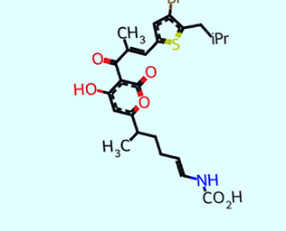 CC(=Cc1cc(Br)c(CC(C)C)s1)C(=O)c1c(O)cc(C(C)CCC=CNC(=O)O)oc1=O